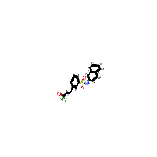 O=C(Cl)/C=C/c1cccc(S(=O)(=O)Nc2ccc3ccccc3c2)c1